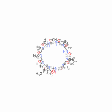 C/C=C/C[C@@H](C)[C@@H](O)[C@H]1C(=O)N[C@@H](CC)C(=O)N(C)CC(=O)N(C)[C@@H](Cc2ccccc2)C(=O)N[C@@H](C(C)C)C(=O)N(C)[C@@H](CC(C)C)C(=O)N[C@@H](C)C(=O)N[C@H](C)C(=O)N(C)[C@@H](CC(C)C)C(=O)N(C)[C@H](CC(C)C)C(=O)N(C)[C@@H](C(C)C)C(=O)N1C